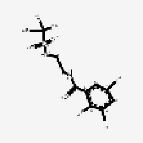 O=C(NCCNS(=O)(=O)C(F)(F)F)c1cc(I)cc(I)c1I